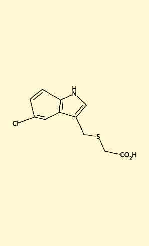 O=C(O)CSCc1c[nH]c2ccc(Cl)cc12